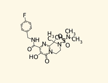 CN(C)S(=O)(=O)N1CCn2c(nc(C(=O)NCc3ccc(F)cc3)c(O)c2=O)C1(C)C